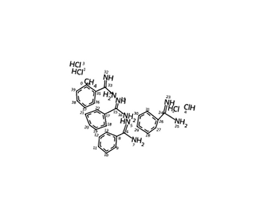 C.Cl.Cl.Cl.Cl.N=C(N)c1ccccc1.N=C(N)c1ccccc1.N=C(N)c1ccccc1.N=C(N)c1ccccc1